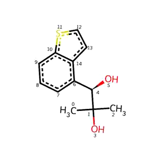 CC(C)(O)[C@H](O)c1cccc2sccc12